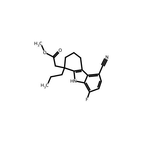 CCCC1(CC(=O)OC)CCCc2c1[nH]c1c(F)ccc(C#N)c21